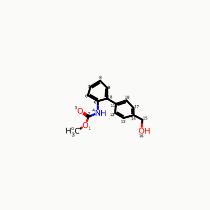 COC(=O)Nc1ccccc1-c1ccc(CO)cc1